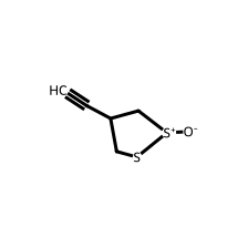 C#CC1CS[S+]([O-])C1